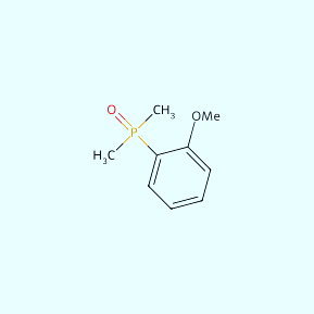 COc1ccccc1P(C)(C)=O